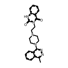 Cc1nnc(N2CCN(CCn3c(=O)[nH]c4ccccc4c3=O)CC2)c2ccccc12